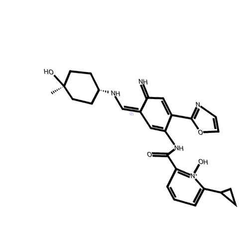 C[C@]1(O)CC[C@H](N/C=C2/C=C(NC(=O)c3cccc(C4CC4)[n+]3O)C(c3ncco3)=CC2=N)CC1